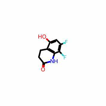 O=C1CCc2c(O)cc(F)c(F)c2N1